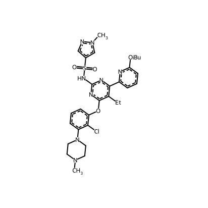 CCc1c(Oc2cccc(N3CCN(C)CC3)c2Cl)nc(NS(=O)(=O)c2cnn(C)c2)nc1-c1cccc(OCC(C)C)n1